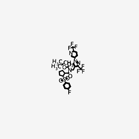 CC(C)(C)OC(=O)N(Cc1cn(-c2ccc(C(F)(F)F)nc2)nc1C(F)(F)F)C(=O)C1CCCC1S(=O)(=O)c1ccc(F)cc1